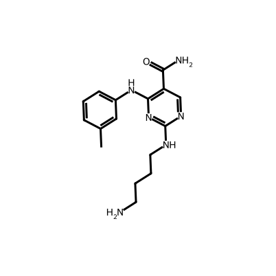 Cc1cccc(Nc2nc(NCCCCN)ncc2C(N)=O)c1